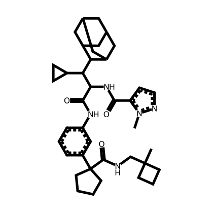 Cn1nccc1C(=O)NC(C(=O)Nc1cccc(C2(C(=O)NCC3(C)CCC3)CCCC2)c1)C(C1CC1)C1C2CC3CC(C2)CC1C3